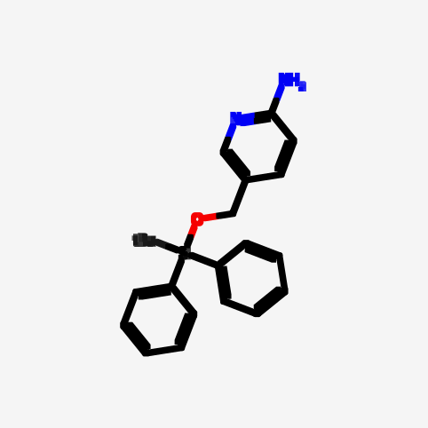 CC(C)(C)[Si](OCc1ccc(N)nc1)(c1ccccc1)c1ccccc1